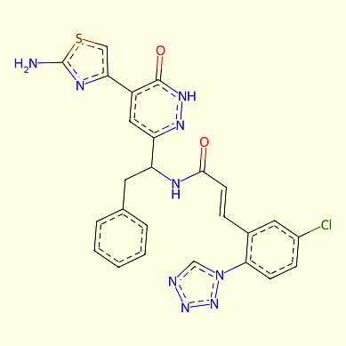 Nc1nc(-c2cc(C(Cc3ccccc3)NC(=O)/C=C/c3cc(Cl)ccc3-n3cnnn3)n[nH]c2=O)cs1